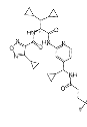 O=C(CCC(F)(F)F)NC(c1ccnc(NC(=O)[C@@H](NC(=O)c2nonc2C2CC2)C(C2CC2)C2CC2)c1)C1CC1